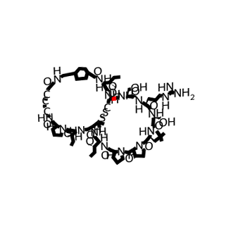 CC[C@H](C)[C@@H]1NC(=O)C2CCC(CC2)CNC(=O)CCCCCNC(=O)[C@@H]2CCCN2C(=O)[C@H]([C@@H](C)CC)NC(=O)[C@H]2NC(=O)[C@H]([C@@H](C)CC)NC(=O)[C@@H]3CCCN3C(=O)[C@@H]3CCCN3C(=O)[C@H](CC(C)(C)C)NC(=O)[C@H](CO)NC(=O)[C@H](CCCNC(=N)N)NC(=O)[C@H](CO)NC(=O)[C@H](CSSC2(C)C)NC1=O